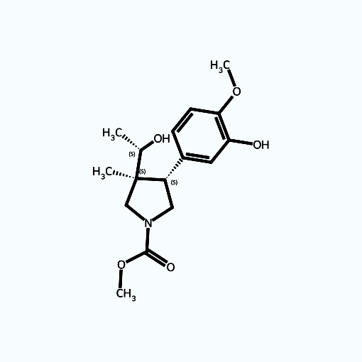 COC(=O)N1C[C@@H](c2ccc(OC)c(O)c2)[C@](C)([C@H](C)O)C1